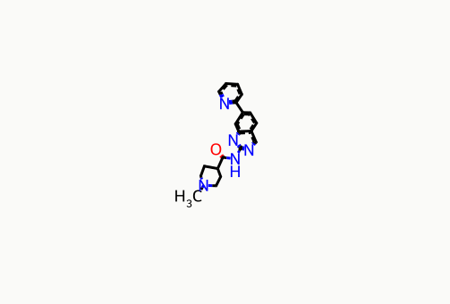 CN1CCC(C(=O)Nc2ncc3ccc(-c4ccccn4)cc3n2)CC1